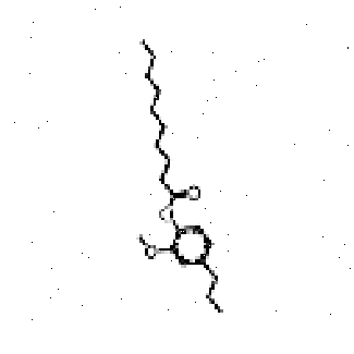 CCCCCCCCCC(=O)Oc1ccc(CCC)cc1OC